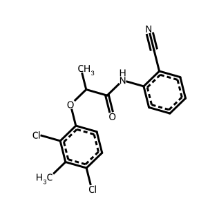 Cc1c(Cl)ccc(OC(C)C(=O)Nc2ccccc2C#N)c1Cl